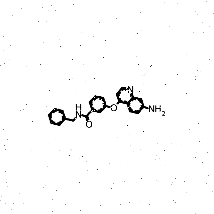 Nc1ccc2c(Oc3cccc(C(=O)NCc4ccccc4)c3)ccnc2c1